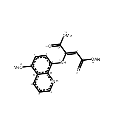 COC(=O)/C=C(\Nc1ccc(OC)c2cccnc12)C(=O)OC